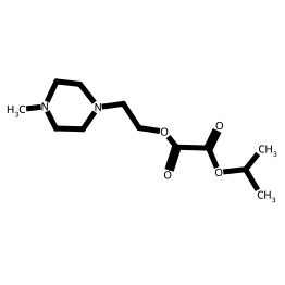 CC(C)OC(=O)C(=O)OCCN1CCN(C)CC1